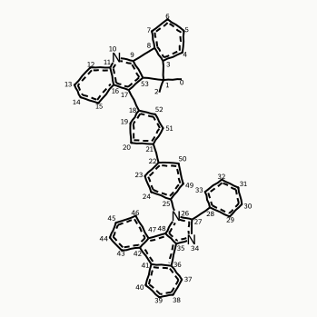 CC1(C)c2ccccc2-c2nc3ccccc3c(-c3ccc(-c4ccc(-n5c(-c6ccccc6)nc6c7ccccc7c7ccccc7c65)cc4)cc3)c21